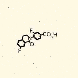 O=C(O)c1ccc(N2CCc3ccc(F)cc3C2=O)c(F)c1